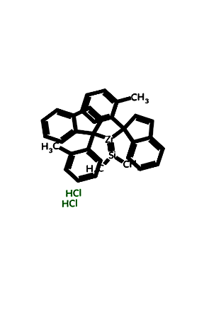 Cc1ccccc1[C]1([Zr](=[Si](C)C)[C]2(c3ccccc3C)C=Cc3ccccc32)C=Cc2ccccc21.Cl.Cl